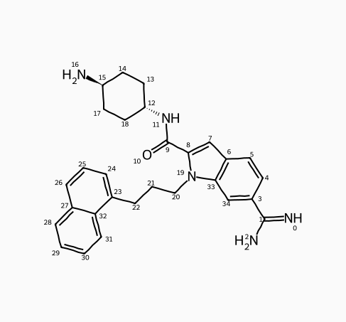 N=C(N)c1ccc2cc(C(=O)N[C@H]3CC[C@H](N)CC3)n(CCCc3cccc4ccccc34)c2c1